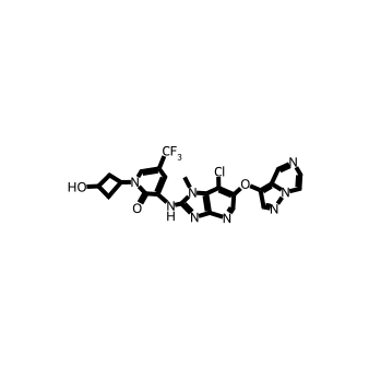 Cn1c(Nc2cc(C(F)(F)F)cn(C3CC(O)C3)c2=O)nc2ncc(Oc3cnn4ccncc34)c(Cl)c21